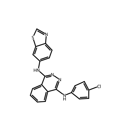 Clc1ccc(Nc2nnc(Nc3ccc4ncsc4c3)c3ccccc23)cc1